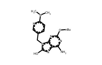 CCCCOc1nc(N)c2nc(O)n(Cc3ccc(N(C)C)nc3)c2n1